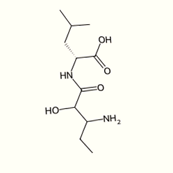 CCC(N)C(O)C(=O)N[C@H](CC(C)C)C(=O)O